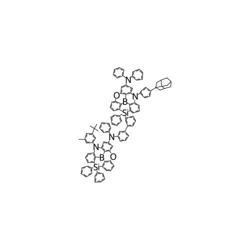 Cc1cc(N2c3cc(N(c4ccccc4)c4cccc(-c5cccc([Si]6(c7ccccc7)c7cccc8c7B7c9c(cc(N(c%10ccccc%10)c%10ccccc%10)cc9N(c9ccc(C%10%11CC%12CC(CC(C%12)C%10)C%11)cc9)c9cccc6c97)O8)c5)c4)cc4c3B3c5c(cccc5[Si](c5ccccc5)(c5ccccc5)c5cccc2c53)O4)cc(C(C)(C)C)c1